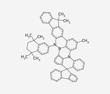 Cc1cc2c3c(c1)N1c4ccccc4C4(c5ccccc5-c5ccccc54)c4cccc(c41)B3N(c1ccc3c(c1)C(C)(C)CCC3(C)C)c1cc3c(cc1-2)C(C)(C)c1ccccc1-3